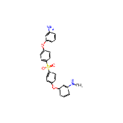 CNc1cccc(Oc2ccc(S(=O)(=O)c3ccc(Oc4cccc(N)c4)cc3)cc2)c1